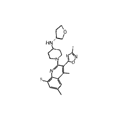 Cc1cc(F)c2nc(N3CCC(N[C@@H]4CCOC4)CC3)c(-c3nc(C)no3)c(C)c2c1